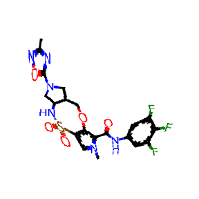 Cc1noc(N2CC3COc4c(cn(C)c4C(=O)Nc4cc(F)c(F)c(F)c4)S(=O)(=O)NC3C2)n1